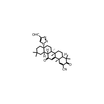 CC1(C)CC[C@]2(n3cc(C=O)nn3)CC[C@]3(C)[C@H](C(=O)C=C4[C@@]5(C)C=C(C#N)C(=O)C(C)(C)[C@@H]5CC[C@]43C)[C@@H]2C1